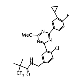 COc1nc(-c2ccc(F)c(C3CC3)c2)nc(-c2cc(CNC(=O)C(C)(C)C(F)(F)F)ccc2Cl)n1